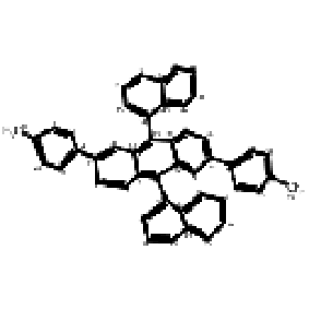 FC(F)(F)c1ccc(-c2ccc3c(-c4cccc5ccccc45)c4cc(-c5ccc(C(F)(F)F)cc5)ccc4c(-c4cccc5ccccc45)c3c2)cc1